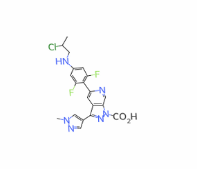 CC(Cl)CNc1cc(F)c(-c2cc3c(-c4cnn(C)c4)nn(C(=O)O)c3cn2)c(F)c1